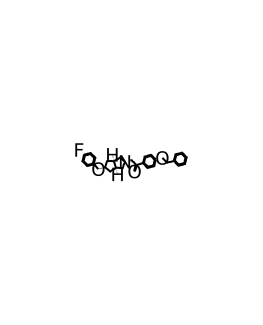 O=C(CN1C[C@H]2C[C@H](Oc3ccc(F)cc3)C[C@H]2C1)c1ccc(OCc2ccccc2)cc1